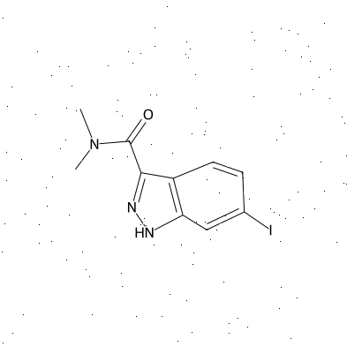 CN(C)C(=O)c1n[nH]c2cc(I)ccc12